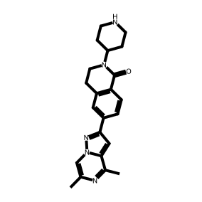 Cc1cn2nc(-c3ccc4c(c3)CCN(C3CCNCC3)C4=O)cc2c(C)n1